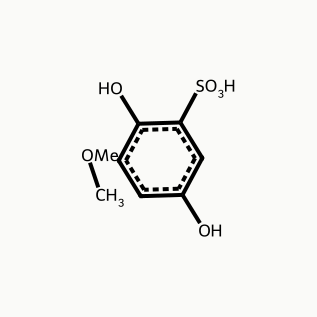 COC.O=S(=O)(O)c1cc(O)ccc1O